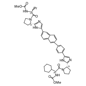 COC(=O)N[C@H](C(=O)N1CCC[C@H]1c1ncc(-c2ccc3cc(-c4ccc(-c5cnc([C@@H]6CCCN6C(=O)[C@H](NC(=O)OC)C6CCCCC6)[nH]5)cc4)ccc3c2)[nH]1)C(C)C